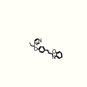 CCC(Oc1ccc(/C=C/c2nc3ccccc3o2)cc1)n1ccnc1